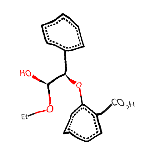 CCO[C@@H](O)[C@H](Oc1ccccc1C(=O)O)c1ccccc1